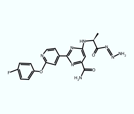 C[C@H](Nc1cc(C(N)=O)nc(-c2ccnc(Oc3ccc(F)cc3)c2)n1)C(=O)N=NN